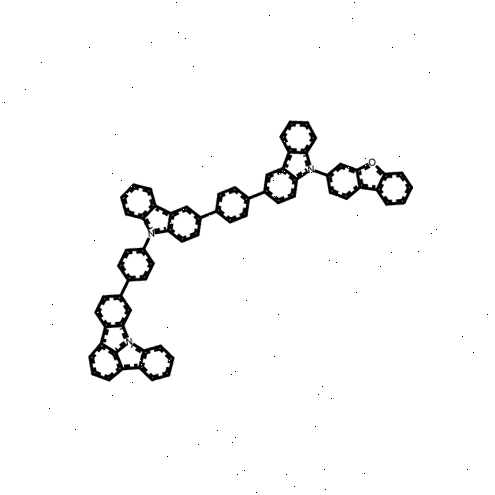 c1ccc2c(c1)oc1cc(-n3c4ccccc4c4cc(-c5ccc(-c6ccc7c(c6)c6ccccc6n7-c6ccc(-c7ccc8c9cccc%10c%11ccccc%11n(c8c7)c%109)cc6)cc5)ccc43)ccc12